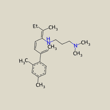 C\C=C(/C=C\C(NCCCN(C)C)=C(\C)CC)c1ccc(C)cc1C